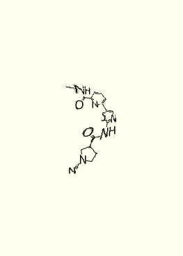 CNC(=O)c1cccc(-c2cnc(NC(=O)[C@H]3CCN(C#N)C3)s2)n1